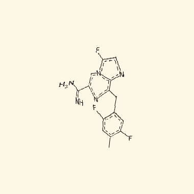 Cc1cc(F)c(Cc2nc(C(=N)N)cn3c(F)cnc23)cc1F